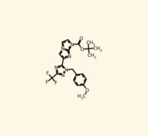 COc1ccc(Cn2nc(C(F)(F)F)nc2-c2cn3ccn(C(=O)OC(C)(C)C)c3n2)cc1